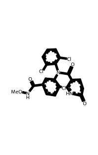 CONC(=O)c1ccc(Cl)c(N(C(=O)c2ccc(=O)[nH]c2)c2c(Cl)cccc2Cl)c1